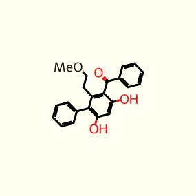 COCCc1c(C(=O)c2ccccc2)c(O)cc(O)c1-c1ccccc1